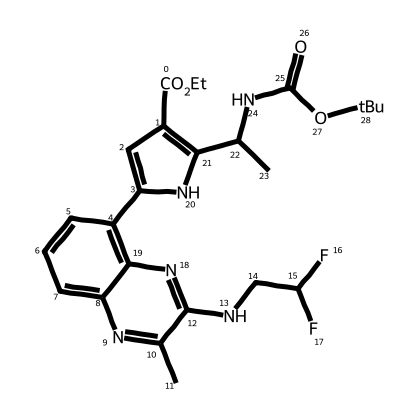 CCOC(=O)c1cc(-c2cccc3nc(C)c(NCC(F)F)nc23)[nH]c1C(C)NC(=O)OC(C)(C)C